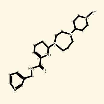 CC(C)N1CCC(N2CCCN(C3CCC=C(C(=O)NCc4cccnc4)N3)CC2)CC1